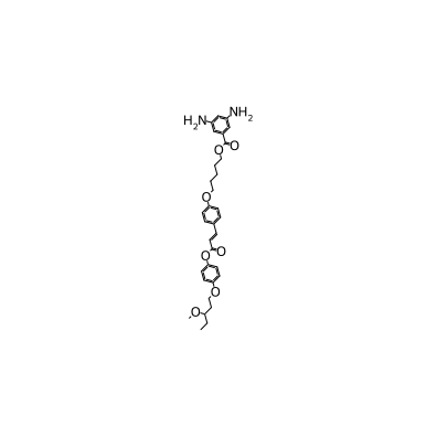 CCC(CCOc1ccc(OC(=O)C=Cc2ccc(OCCCCCOC(=O)c3cc(N)cc(N)c3)cc2)cc1)OC